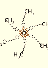 CCCCCCCCC1CCC(CSc2c(SCC3CCC(CCCCCCCC)CC3)c(SCC3CCC(CCCCCCCC)CC3)c(SCC3CCC(CCCCCCCC)CC3)c(SCC3CCC(CCCCCCCC)CC3)c2SCC2CCC(CCCCCCCC)CC2)CC1